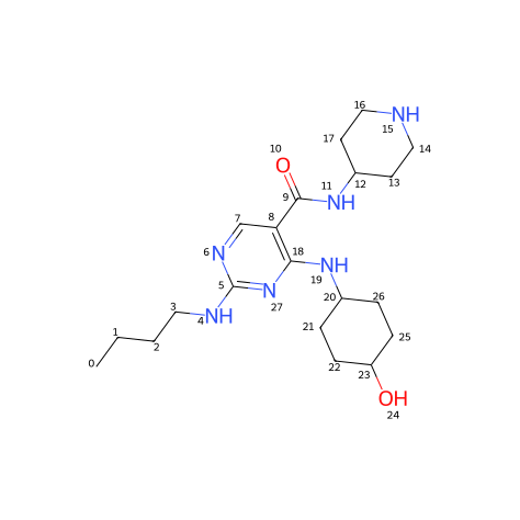 CCCCNc1ncc(C(=O)NC2CCNCC2)c(NC2CCC(O)CC2)n1